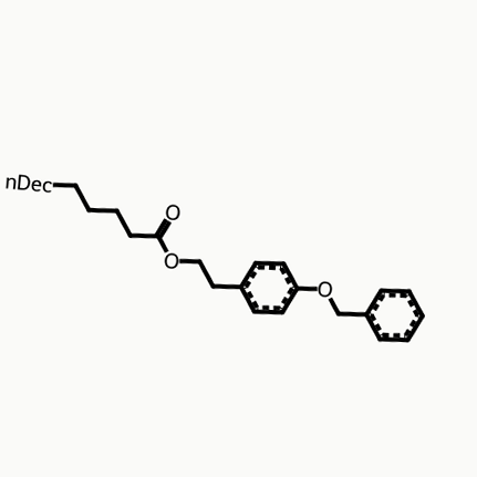 CCCCCCCCCCCCCCC(=O)OCCc1ccc(OCc2ccccc2)cc1